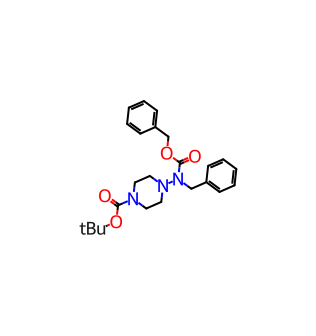 CC(C)(C)OC(=O)N1CCN(N(Cc2ccccc2)C(=O)OCc2ccccc2)CC1